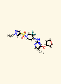 Cn1cc(S(=O)(=O)N2CCC(Nc3ncc(C(F)(F)F)c(O[C@H]4CCOC4)n3)C(F)(F)C2)cn1